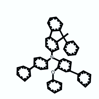 CC1(c2ccccc2)c2ccccc2-c2ccc(N(c3ccc(-c4ccccc4)cc3)c3ccc(-c4ccccc4)cc3Oc3ccccc3)cc21